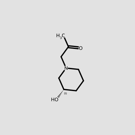 CC(=O)CN1CCC[C@H](O)C1